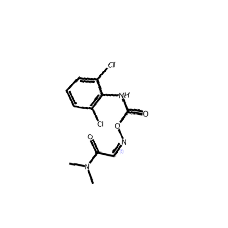 CN(C)C(=O)/[C]=N\OC(=O)Nc1c(Cl)cccc1Cl